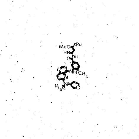 CO/C(=C\C(=N)NC(=O)c1ccc(C)c(Nc2ncnc3cnc(N(C)C4CCOC4)nc23)c1)C(C)(C)C